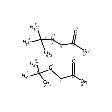 CC(C)(C)NCC(=O)O.CC(C)(C)NCC(=O)O